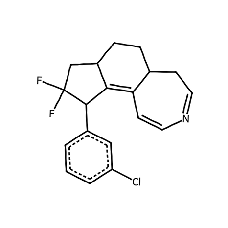 FC1(F)CC2CCC3CC=NC=CC3=C2C1c1cccc(Cl)c1